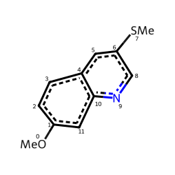 COc1ccc2cc(SC)cnc2c1